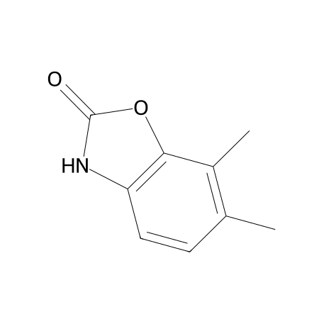 Cc1ccc2[nH]c(=O)oc2c1C